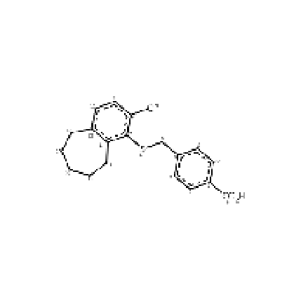 O=C(O)c1ccc(CSc2c(Cl)ccc3c2CCCCC3)cc1